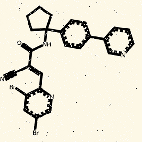 N#CC(=Cc1ncc(Br)cc1Br)C(=O)NC1(c2ccc(-c3cccnc3)cc2)CCCC1